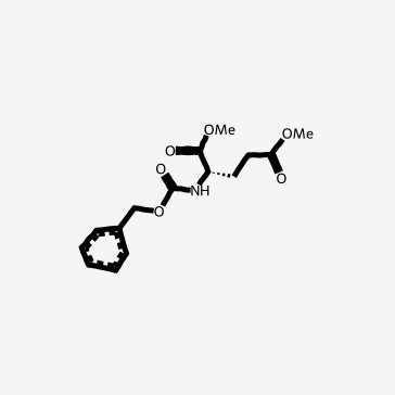 COC(=O)CC[C@H](NC(=O)OCc1ccccc1)C(=O)OC